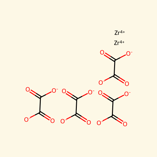 O=C([O-])C(=O)[O-].O=C([O-])C(=O)[O-].O=C([O-])C(=O)[O-].O=C([O-])C(=O)[O-].[Zr+4].[Zr+4]